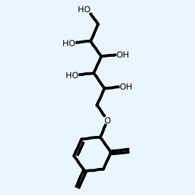 C=C1C=CC(OCC(O)C(O)C(O)C(O)CO)C(=C)C1